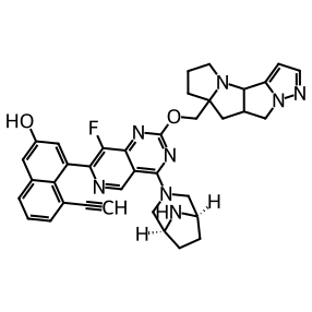 C#Cc1cccc2cc(O)cc(-c3ncc4c(N5C[C@H]6CC[C@@H](C5)N6)nc(OCC56CCCN5C5c7ccnn7CC5C6)nc4c3F)c12